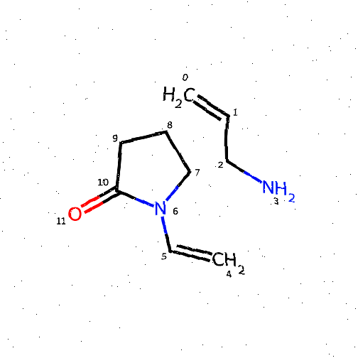 C=CCN.C=CN1CCCC1=O